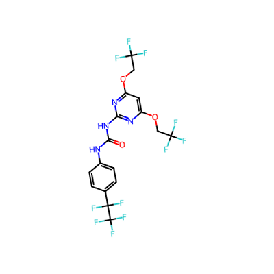 O=C(Nc1ccc(C(F)(F)C(F)(F)F)cc1)Nc1nc(OCC(F)(F)F)cc(OCC(F)(F)F)n1